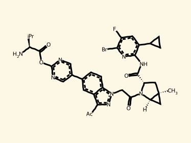 CC(=O)c1nn(CC(=O)N2[C@H](C(=O)Nc3nc(Br)c(F)cc3C3CC3)C[C@@]3(C)C[C@@H]23)c2ccc(-c3cnc(OC(=O)[C@@H](N)C(C)C)nc3)cc12